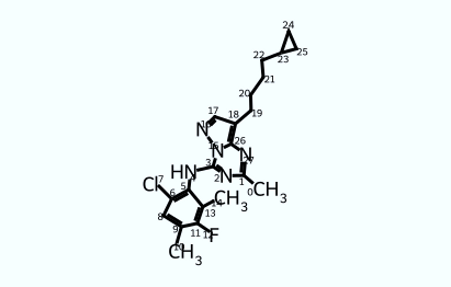 Cc1nc(Nc2c(Cl)cc(C)c(F)c2C)n2ncc(CCCCC3CC3)c2n1